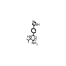 CC(C)[C@H](NC(=O)c1ccc(-c2cnc[nH]2)cc1)C(N)=O